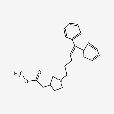 COC(=O)CC1CCN(CCCC=C(c2ccccc2)c2ccccc2)C1